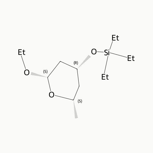 CCO[C@@H]1C[C@H](O[Si](CC)(CC)CC)C[C@H](C)O1